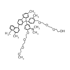 COCCOCCOCCOc1ccc(C2(c3ccc(COCCOCCOCCO)c(C)c3)c3cc(C)ccc3-c3ccc(-c4ccc(C)c5c(C)cccc45)cc32)cc1N(C)C